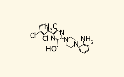 Cc1nc(N2CCN(c3ccccc3N)CC2)c(CO)nc1-c1cccc(Cl)c1Cl